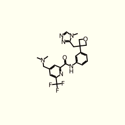 CN(C)Cc1cc(C(=O)Nc2cccc(C3(Cc4nncn4C)COC3)c2)nc(C(F)(F)F)c1